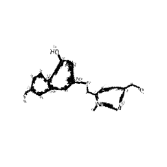 Cn1nc(CCl)cc1CSc1cc(O)c2ccc(F)cc2c1